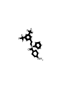 NC1CCC(C(=O)N(CCc2cc(C(F)(F)F)cc(C(F)(F)F)c2)c2ccccc2)CC1